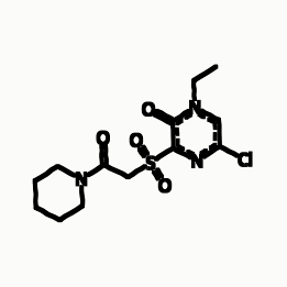 CCn1cc(Cl)nc(S(=O)(=O)CC(=O)N2CCCCC2)c1=O